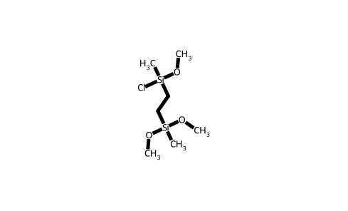 CO[Si](C)(Cl)CC[Si](C)(OC)OC